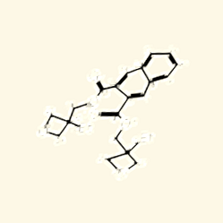 CCC1(COC(=O)c2cc3ccccc3cc2C(=O)OCC2(CC)COC2)COC1